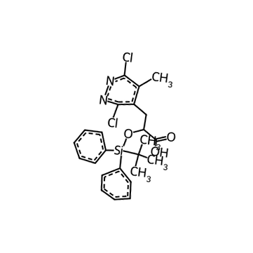 Cc1c(Cl)nnc(Cl)c1CC(O[Si](c1ccccc1)(c1ccccc1)C(C)(C)C)C(=O)O